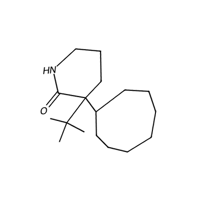 CC(C)(C)C1(C2CCCCCCC2)CCCNC1=O